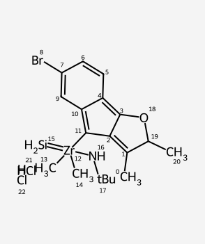 CC1=C2C(=c3ccc(Br)cc3=[C]2[Zr]([CH3])([CH3])(=[SiH2])[NH]C(C)(C)C)OC1C.Cl.Cl